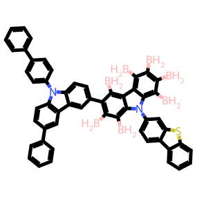 Bc1c(B)c(B)c2c(c1B)c1c(B)c(-c3ccc4c(c3)c3cc(-c5ccccc5)ccc3n4-c3ccc(-c4ccccc4)cc3)c(B)c(B)c1n2-c1ccc2c(c1)sc1ccccc12